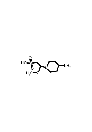 COC(CS(=O)(=O)O)N1CCC(N)CC1